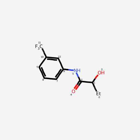 CCC(O)C(=O)Nc1cccc(C(F)(F)F)c1